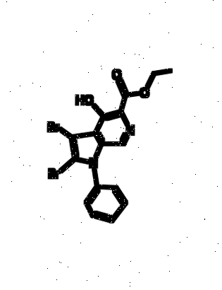 CCOC(=O)c1ncc2c(c1O)c(Br)c(Br)n2-c1ccccc1